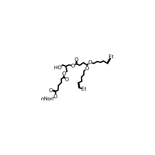 CC/C=C\CCCCOC(CCC(=O)OCC(CO)COC(=O)CCCCC(=O)OCCCCCCCCC)OCCCC/C=C\CC